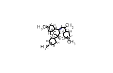 C=C(/C=C(\CC(C)(CC)C1CCN(C)CC1)C1CCN(C)CC1)C1CCN(C)CC1